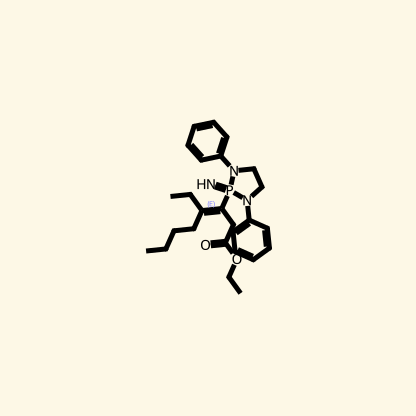 CCCC/C(CC)=C(\CC(=O)OCC)P1(=N)N(c2ccccc2)CCN1c1ccccc1